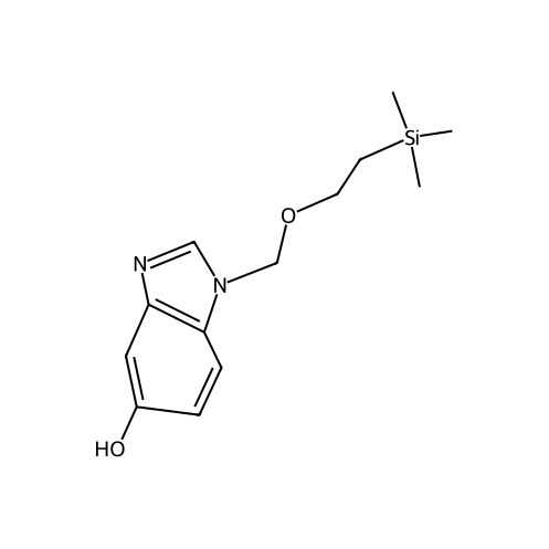 C[Si](C)(C)CCOCn1cnc2cc(O)ccc21